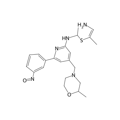 C/C(=C/N)SC(C)Nc1cc(CN2CCOC(C)C2)cc(-c2cccc(N=O)c2)n1